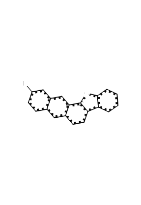 Fc1ccc2cc3ccc4c5ccccc5oc4c3cc2c1